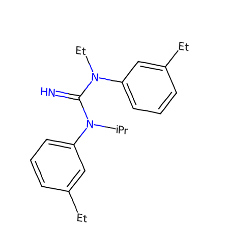 CCc1cccc(N(CC)C(=N)N(c2cccc(CC)c2)C(C)C)c1